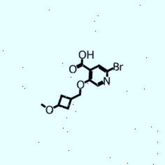 COC1CC(COc2cnc(Br)cc2C(=O)O)C1